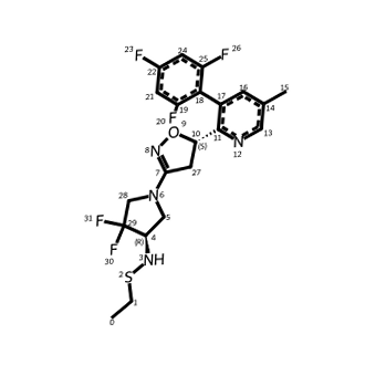 CCSN[C@@H]1CN(C2=NO[C@H](c3ncc(C)cc3-c3c(F)cc(F)cc3F)C2)CC1(F)F